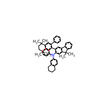 CC1(C)CCC(C)(C)c2cc(-c3cc4c(cc3N(c3ccccc3)c3ccc5c(c3)CCCC5)C(C)(C)c3ccccc3-4)c(-c3ccccc3)cc21